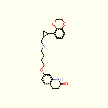 O=C1CCc2ccc(OCCCCNCC3CC3c3cccc4c3OCCO4)cc2N1